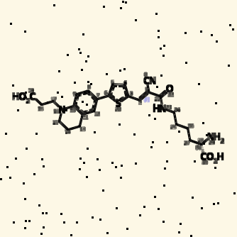 N#C/C(=C\c1ccc(-c2ccc3c(c2)CCCN3CCC(=O)O)s1)C(=O)NCCCC[C@H](N)C(=O)O